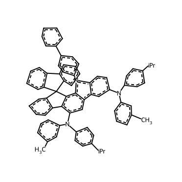 Cc1cccc(N(c2ccc(C(C)C)cc2)c2ccc3c(c2)c2cc(N(c4ccc(C(C)C)cc4)c4cccc(C)c4)c4c(c2n3-c2ccc(-c3ccccc3)cc2)C2(c3ccccc3-c3ccccc32)c2ccccc2-4)c1